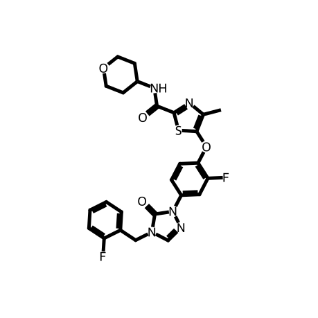 Cc1nc(C(=O)NC2CCOCC2)sc1Oc1ccc(-n2ncn(Cc3ccccc3F)c2=O)cc1F